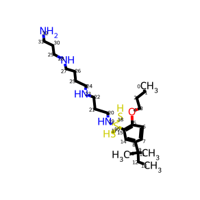 CCCCOc1ccc(C(C)(C)CC)cc1S(S)(S)NCCCNCCCCNCCCN